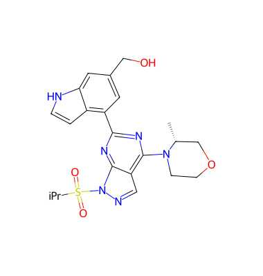 CC(C)S(=O)(=O)n1ncc2c(N3CCOC[C@H]3C)nc(-c3cc(CO)cc4[nH]ccc34)nc21